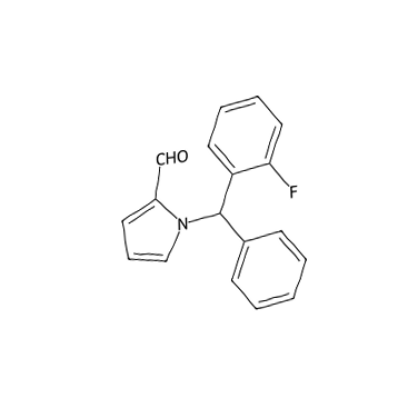 O=Cc1cccn1C(c1ccccc1)c1ccccc1F